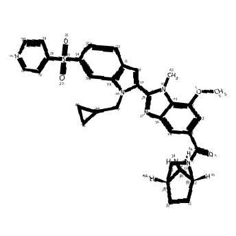 COc1cc(C(=O)N2C[C@H]3CC[C@@H]2[C@@H]3N)cc2nc(-c3cc4ccc(S(=O)(=O)c5ccncc5)cc4n3CC3CC3)n(C)c12